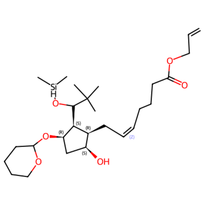 C=CCOC(=O)CCC/C=C\C[C@@H]1[C@H](C(O[SiH](C)C)C(C)(C)C)[C@H](OC2CCCCO2)C[C@@H]1O